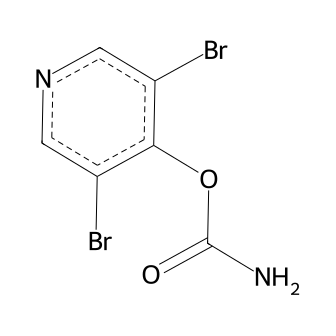 NC(=O)Oc1c(Br)cncc1Br